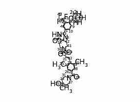 [2H]C([2H])([2H])C([2H])([2H])Oc1ccc(C2=NC3(CCN(S(=O)(=O)/C=C/c4c(C)cc(C(=O)N5CCC(C)(O)CC5)cc4C)CC3)C(=O)N2)cc1C(F)(F)F